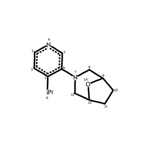 CC(C)c1ccncc1N1CC2CCC(C1)O2